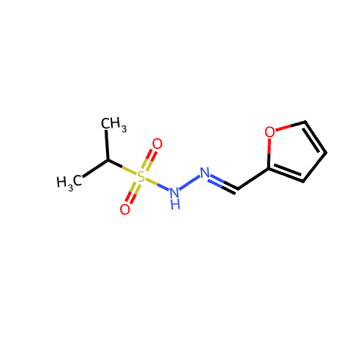 CC(C)S(=O)(=O)NN=Cc1ccco1